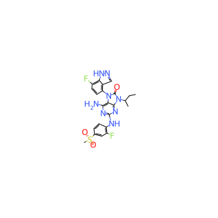 CCC(C)n1c(=O)n(-c2ccc(F)c3[nH]ncc23)c2c(N)nc(Nc3ccc(S(C)(=O)=O)cc3F)nc21